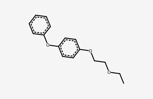 CCOCCOc1ccc(Oc2ccccc2)cc1